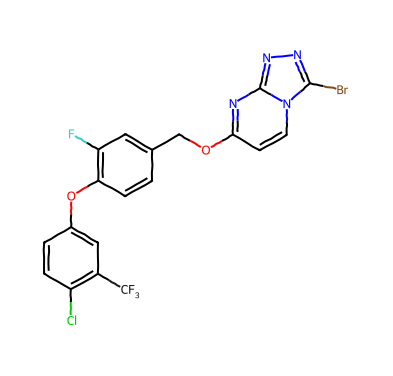 Fc1cc(COc2ccn3c(Br)nnc3n2)ccc1Oc1ccc(Cl)c(C(F)(F)F)c1